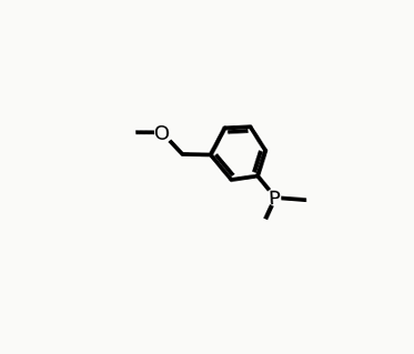 COCc1cccc(P(C)C)c1